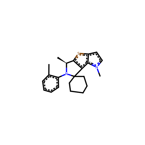 Cc1ccccc1N1[C@@H](C)c2sc3ccn(C)c3c2C12CCCCC2